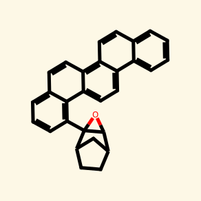 c1ccc2c(c1)ccc1c2ccc2c1ccc1cccc(C34OC3C3CCC4C3)c12